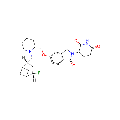 O=C1CCC(N2Cc3cc(OC[C@H]4CCCCN4C[C@@H]4C[C@H](F)C5CC4C5)ccc3C2=O)C(=O)N1